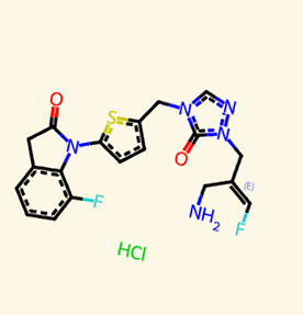 Cl.NC/C(=C\F)Cn1ncn(Cc2ccc(N3C(=O)Cc4cccc(F)c43)s2)c1=O